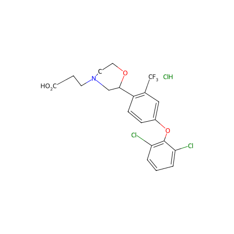 Cl.O=C(O)CCN1CCOC(c2ccc(Oc3c(Cl)cccc3Cl)cc2C(F)(F)F)C1